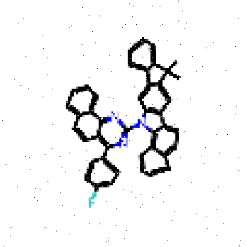 CC1(C)c2ccccc2-c2cc3c(cc21)c1ccc2ccccc2c1n3-c1nc(-c2ccc(F)cc2)c2ccc3ccccc3c2n1